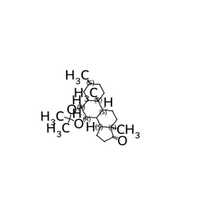 C[C@H]1CC[C@@]2(C)C(C1)[C@H]1OC(C)(C)O[C@@H]1C1[C@@H]2CC[C@]2(C)C(=O)CC[C@@H]12